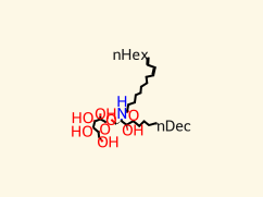 CCCCCC/C=C/C=C\CCCCCCCC(=O)N[C@@H](COC1OC(CO)C(O)C(O)C1O)[C@H](O)CCCCCCCCCCCCCCC